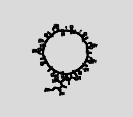 CC[C@H]1NC(=O)C([C@@H](O)[C@@H](C)CC(O)C(C)N(CCC(C)=O)C(C)=O)N(C)C(=O)[C@@H](C(C)C)N(C)C(=O)[C@@H](CC(C)C)N(C)C(=O)[C@@H](CC(C)C)N(C)C(=O)[C@@H](C)NC(=O)[C@@H](C)NC(=O)[C@@H](CC(C)C)N(C)C(=O)[C@@H](C(C)C)NC(=O)[C@@H](CC(C)C)N(C)C(=O)CN(C)C1=O